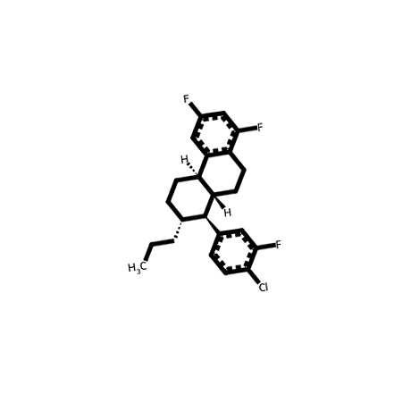 CCC[C@@H]1CC[C@H]2c3cc(F)cc(F)c3CC[C@@H]2[C@H]1c1ccc(Cl)c(F)c1